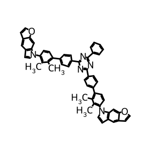 Cc1c(-c2ccc(-c3nc(-c4ccccc4)nc(-c4ccc(-c5ccc(-n6ccc7cc8ccoc8cc76)c(C)c5C)cc4)n3)cc2)ccc(-n2ccc3cc4ccoc4cc32)c1C